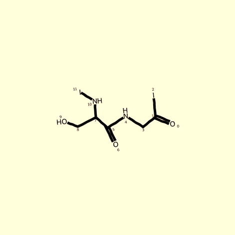 O=C(I)CNC(=O)C(CO)NI